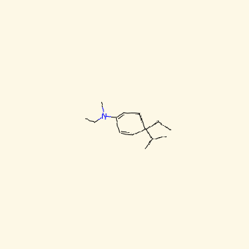 CCN(C)C1=CCC(CC)(C(C)C)C=C1